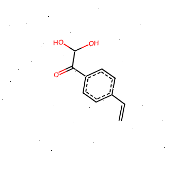 C=Cc1ccc(C(=O)C(O)O)cc1